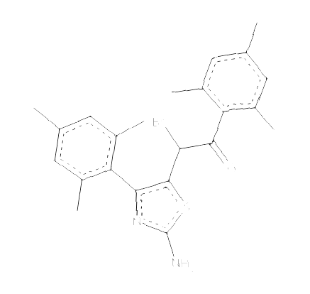 Cc1cc(C)c(C(=O)C(Br)c2sc(N)nc2-c2c(C)cc(C)cc2C)c(C)c1